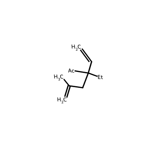 C=CC(CC)(CC(=C)C)C(C)=O